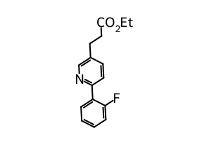 CCOC(=O)CCc1ccc(-c2ccccc2F)nc1